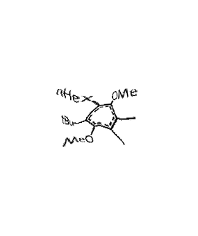 CCCCCCc1c(OC)c(C)c(C)c(OC)c1C(C)(C)C